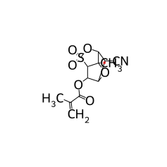 C=C(C)C(=O)OC1C2OC3(C)C(OS(=O)(=O)C13)C2C#N